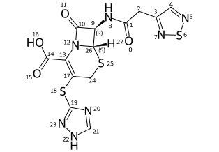 O=C(Cc1cnsn1)N[C@@H]1C(=O)N2C(C(=O)O)=C(Sc3nc[nH]n3)CS[C@@H]12